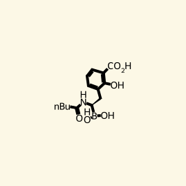 CCCCC(=O)N[C@@H](Cc1cccc(C(=O)O)c1O)B(O)O